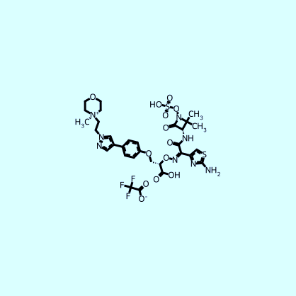 CC1(C)[C@H](NC(=O)/C(=N\O[C@@H](COc2ccc(-c3cnn(CC[N+]4(C)CCOCC4)c3)cc2)C(=O)O)c2csc(N)n2)C(=O)N1OS(=O)(=O)O.O=C([O-])C(F)(F)F